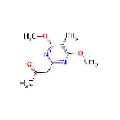 COc1nc(CC(C)=O)nc(OC)c1C